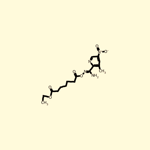 CCOC(=O)CCCCCC(=O)O/N=C(\N)c1ncc([N+](=O)[O-])cc1C